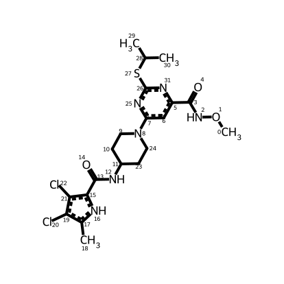 CONC(=O)c1cc(N2CCC(NC(=O)c3[nH]c(C)c(Cl)c3Cl)CC2)nc(SC(C)C)n1